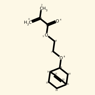 C=C(C)C(=O)OCCOC1CC2C=CC1CC2